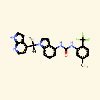 [2H]C([2H])(c1ccnc2[nH]ccc12)n1ccc2c(NC(=O)Nc3cc(C)ccc3C(F)(F)F)cccc21